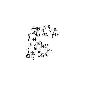 Cc1ccc(C(=O)N2CC3CC(Nc4cnc(C(F)(F)F)cn4)C2C3)c(-c2ncccc2F)n1